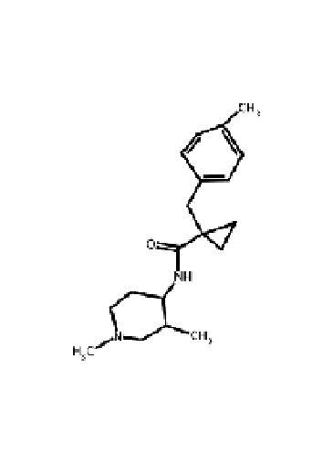 Cc1ccc(CC2(C(=O)NC3CCN(C)CC3C)CC2)cc1